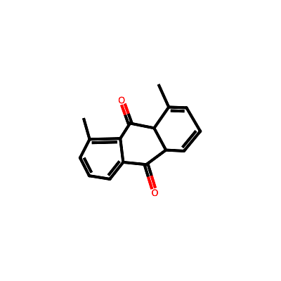 CC1=CC=CC2C(=O)c3cccc(C)c3C(=O)C12